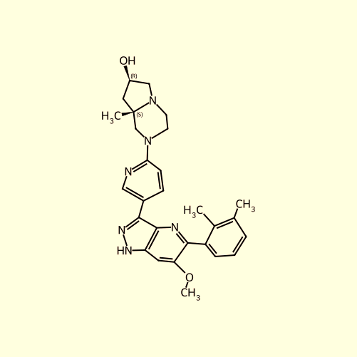 COc1cc2[nH]nc(-c3ccc(N4CCN5C[C@H](O)C[C@@]5(C)C4)nc3)c2nc1-c1cccc(C)c1C